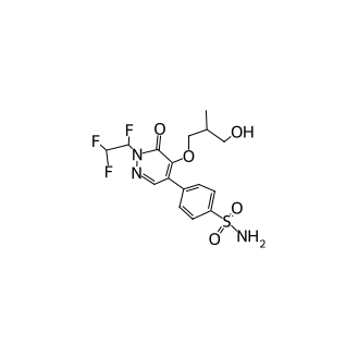 CC(CO)COc1c(-c2ccc(S(N)(=O)=O)cc2)cnn(C(F)C(F)F)c1=O